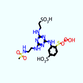 CS(=O)(=O)NCCNc1nc(NCCS(=O)(=O)O)nc(Nc2cc(S(=O)(=O)O)ccc2SOOO)n1